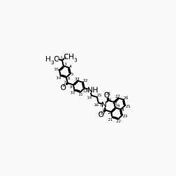 CC(C)c1ccc(C(=O)c2ccc(NCCCN3C(=O)c4cccc5cccc(c45)C3=O)cc2)cc1